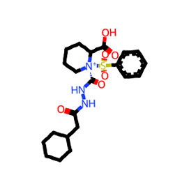 O=C(CC1CCCCC1)NNC(=O)[N@+]1(S(=O)(=O)c2ccccc2)CCCCC1C(=O)O